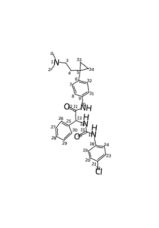 CN(C)CCC1(c2ccc(NC(=O)C(NC(=O)Nc3ccc(Cl)cc3)c3ccccc3)cc2)CC1